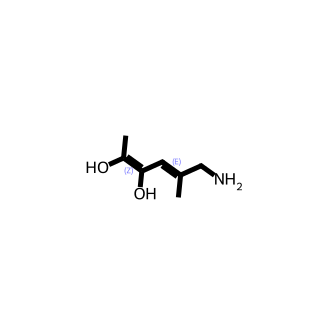 C/C(O)=C(O)\C=C(/C)CN